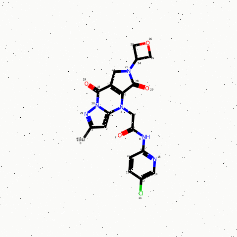 CC(C)(C)c1cc2n(CC(=O)Nc3ccc(Cl)cn3)c3c(c(=O)n2n1)CN(C1COC1)C3=O